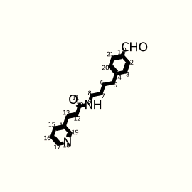 O=Cc1ccc(CCCCNC(=O)/C=C/c2cccnc2)cc1